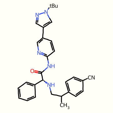 CC(CN[C@H](C(=O)Nc1ccc(-c2cnn(C(C)(C)C)c2)cn1)c1ccccc1)c1ccc(C#N)cc1